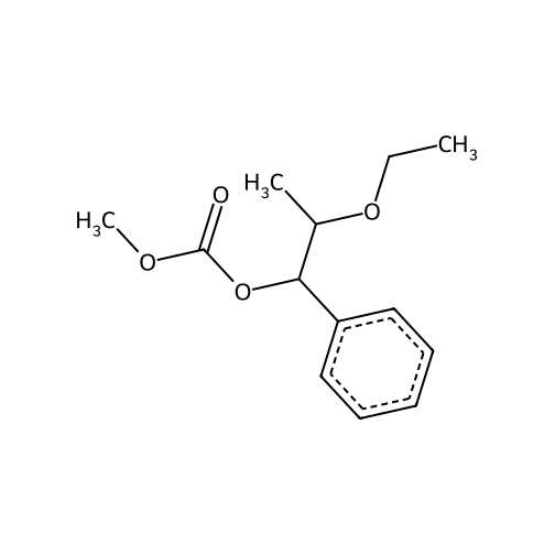 CCOC(C)C(OC(=O)OC)c1ccccc1